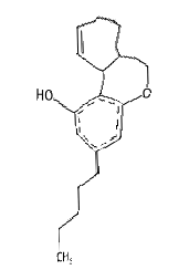 CCCCCc1cc(O)c2c(c1)OCC1CCC=CC21